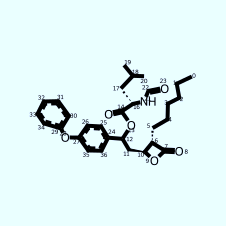 CCCCCC[C@@H]1C(=O)O[C@H]1CC(OC(=O)[C@H](CC(C)C)NC=O)c1ccc(Oc2ccccc2)cc1